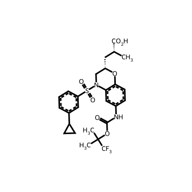 C[C@H](C[C@H]1CN(S(=O)(=O)c2cccc(C3CC3)c2)c2cc(NC(=O)OC(C)(C)C(F)(F)F)ccc2O1)C(=O)O